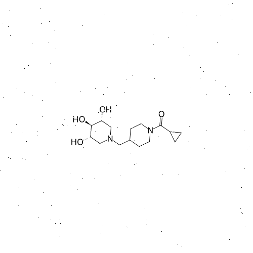 O=C(C1CC1)N1CCC(CN2C[C@@H](O)[C@H](O)[C@@H](O)C2)CC1